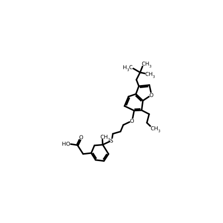 CCCc1c(OCCCSC2(C)C=CC=C(CC(=O)O)C2)ccc2c(CC(C)(C)C)coc12